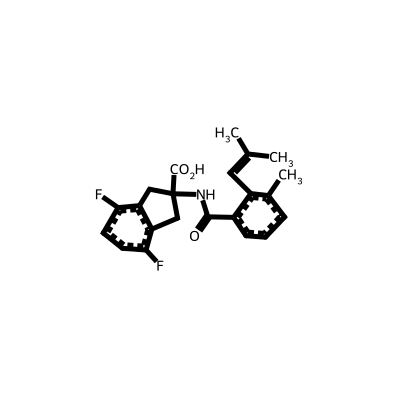 CC(C)=Cc1c(C)cccc1C(=O)NC1(C(=O)O)Cc2c(F)ccc(F)c2C1